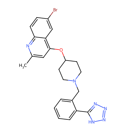 Cc1cc(OC2CCN(Cc3ccccc3-c3nnn[nH]3)CC2)c2cc(Br)ccc2n1